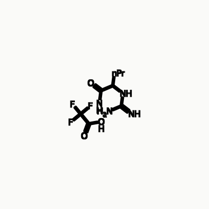 CCCC(NC(=N)N)C(N)=O.O=C(O)C(F)(F)F